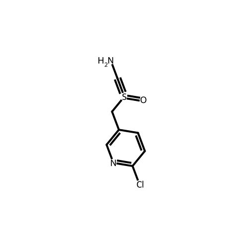 NC#S(=O)Cc1ccc(Cl)nc1